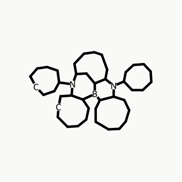 C1CCCC(N2C3CCCCCC4C(C3)B(C3CCCCCCCC32)C2CCCCCCCC2N4C2CCCCCCC2)CCC1